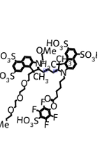 COCCOCCOCCOCCC1(C)C(/C=C/C=C2/N(CCCCCC(=O)Oc3c(F)c(F)c(S(=O)(=O)O)c(F)c3F)c3ccc4c(S(=O)(=O)O)cc(S(=O)(=O)O)cc4c3C2(C)C)=[N+](CCOC)c2ccc3c(S(=O)(=O)O)cc(S(=O)(=O)O)cc3c21